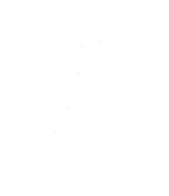 Cc1nc2c(o1)CCN(C[C@@H](O)CNC(=O)c1cc(Cl)ncn1)C2